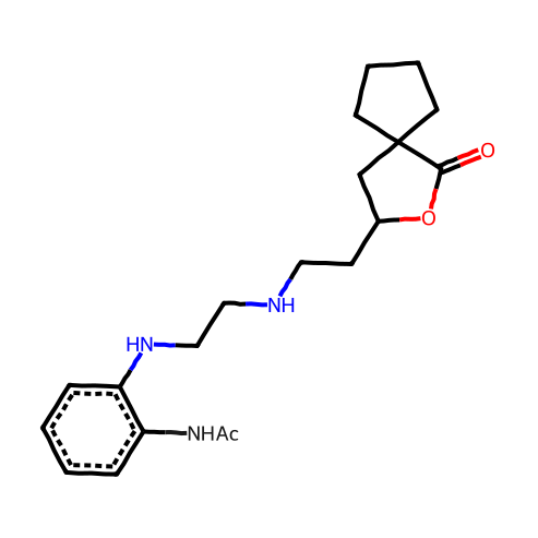 CC(=O)Nc1ccccc1NCCNCCC1CC2(CCCC2)C(=O)O1